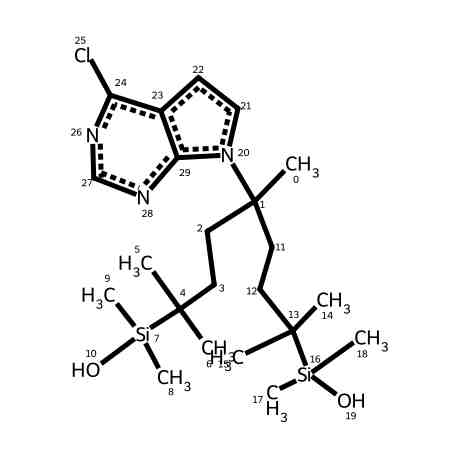 CC(CCC(C)(C)[Si](C)(C)O)(CCC(C)(C)[Si](C)(C)O)n1ccc2c(Cl)ncnc21